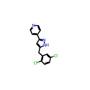 Clc1ccc(Cl)c(Cc2cc(-c3ccncc3)n[nH]2)c1